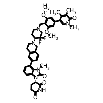 COc1cc(-c2cn(C)c(=O)c(C)c2C)cc(OC)c1CN1CC[C@H](N2CCc3cc(-c4cccc5c4n(C)c(=O)n5[C@H]4CCC(=O)NC4=O)ccc3C2)C(F)(F)C1